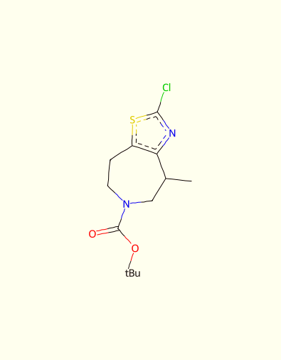 CC1CN(C(=O)OC(C)(C)C)CCc2sc(Cl)nc21